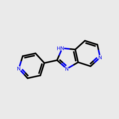 c1cc(-c2nc3cnccc3[nH]2)ccn1